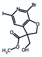 COC(=O)C1(CO)COc2c1cc(I)nc2Br